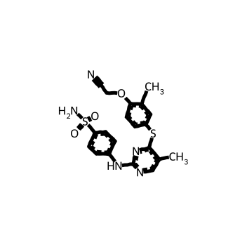 Cc1cc(Sc2nc(Nc3ccc(S(N)(=O)=O)cc3)ncc2C)ccc1OCC#N